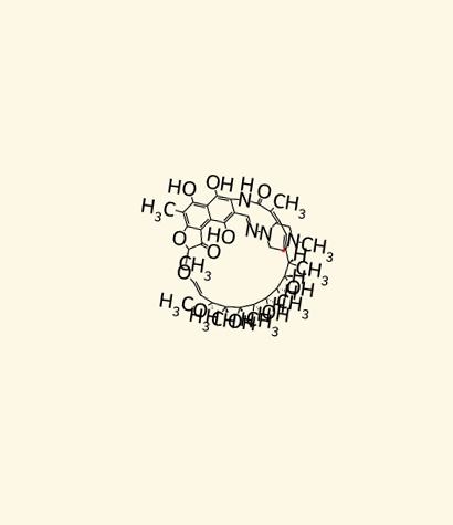 CO[C@H]1/C=C/O[C@@]2(C)Oc3c(C)c(O)c4c(O)c(c(/C=N/N5CCN(C)CC5)c(O)c4c3C2=O)NC(=O)/C(C)=C\C=C\[C@H](C)[C@H](O)[C@@H](C)[C@@H](O)[C@@H](C)[C@H](O)[C@@H]1C